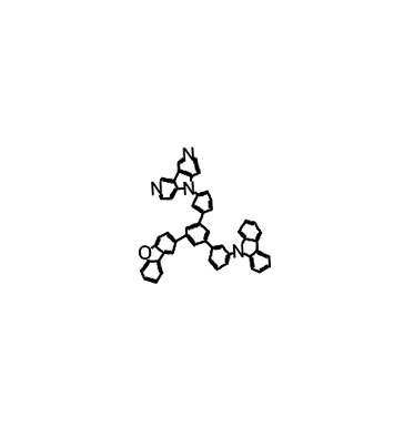 c1cc(-c2cc(-c3cccc(-n4c5ccncc5c5cnccc54)c3)cc(-c3ccc4oc5ccccc5c4c3)c2)cc(-n2c3ccccc3c3ccccc32)c1